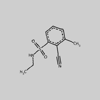 CCNS(=O)(=O)c1cccc(C)c1C#N